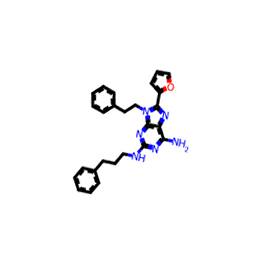 Nc1nc(NCCCc2ccccc2)nc2c1nc(-c1ccco1)n2CCc1ccccc1